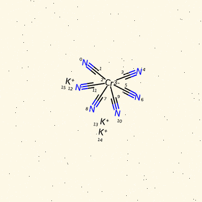 N#[C][Cr-3]([C]#N)([C]#N)([C]#N)([C]#N)[C]#N.[K+].[K+].[K+]